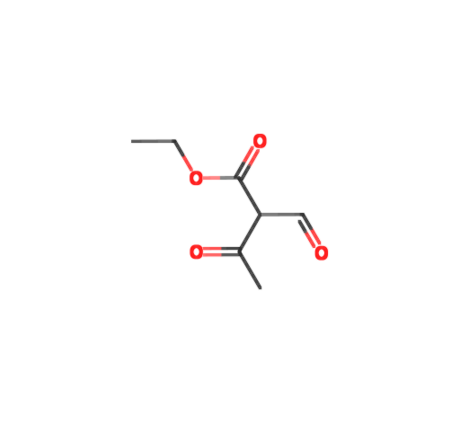 CCOC(=O)C(C=O)C(C)=O